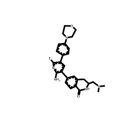 CN(C)CC1Cc2cc(-c3cc(-c4ccc(N5CCOCC5)cc4)c(F)nc3N)ccc2C(=O)N1